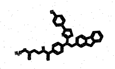 COC(=O)CCNC(=O)c1ccc(N(Cc2ccc3c(c2)Cc2ccccc2-3)c2nc(-c3ccc(Cl)cc3)cs2)cc1